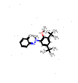 C=C1C=CC=C/C1=N/N(C)c1cc(C(C)(C)C)cc(C(C)(C)C)c1OC